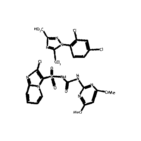 COc1cc(OC)nc(NC(=O)NS(=O)(=O)c2c(Cl)nc3ccccn23)n1.O=C(O)c1nc(C(Cl)(Cl)Cl)n(-c2ccc(Cl)cc2Cl)n1